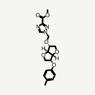 COC(=O)c1ncn(CO[C@@H]2CO[C@H]3[C@@H]2OC[C@@H]3Oc2ccc(C)cc2)n1